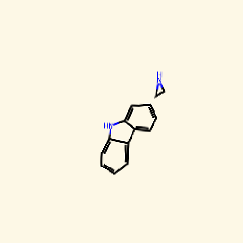 C1CN1.c1ccc2c(c1)[nH]c1ccccc12